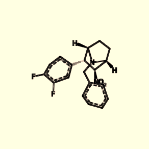 O=[N+]([O-])[C@H]1[C@H](c2ccc(F)c(F)c2)[C@@H]2CC[C@H]1N2Cc1ccccc1